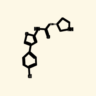 O=C(C[C@@H]1CCNC1)Nc1cc(-c2ccc(Cl)cc2)co1